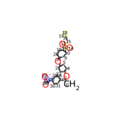 C=C(Oc1ccc(Oc2ccc(S(=O)(=O)CC3CS3)cc2)cc1)c1ccc([N+](=O)[O-])cc1